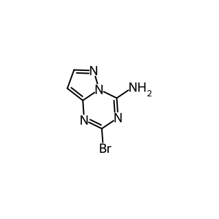 Nc1nc(Br)nc2ccnn12